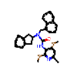 CSc1cc(C)nc(SC)c1NC(=O)N(Cc1cccc2ccccc12)C1Cc2ccccc2C1